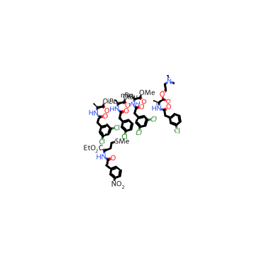 CC(C)COC(=O)[C@H](C)NC(=O)Cc1cc(Cl)cc(Cl)c1.CC(C)COC(=O)[C@H](C)NC(=O)Cc1cccc(Cl)c1.CCCCC(NC(=O)Cc1cc(Cl)cc(Cl)c1)C(=O)OC.CCOC(=O)[C@H](CCSC)NC(=O)Cc1cccc([N+](=O)[O-])c1.C[C@H](NC(=O)Cc1cccc(Cl)c1)C(=O)OCCN(C)C